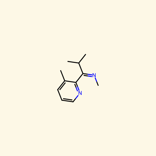 C/N=C(\c1ncccc1C)C(C)C